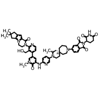 C[C@H]1C[C@@]2(CCCN(c3ccc4c(c3)C(=O)N(C3CCC(=O)NC3=O)C4=O)CC2)CCN1c1ccc(Nc2cc(-c3ccnc(N4CCn5c(cc6c5CC(C)(C)C6)C4=O)c3CO)cn(C)c2=O)nc1